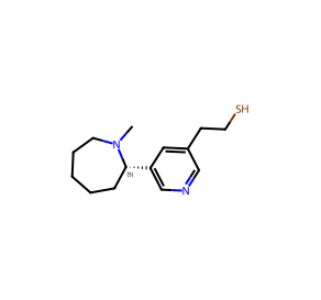 CN1CCCCC[C@H]1c1cncc(CCS)c1